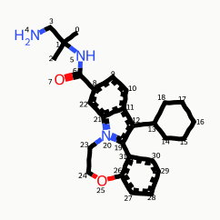 CC(C)(CN)NC(=O)c1ccc2c(C3CCCCC3)c3n(c2c1)CCOc1ccccc1-3